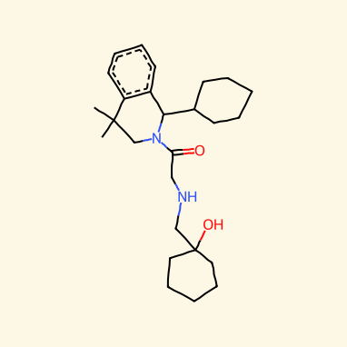 CC1(C)CN(C(=O)CNCC2(O)CCCCC2)C(C2CCCCC2)c2ccccc21